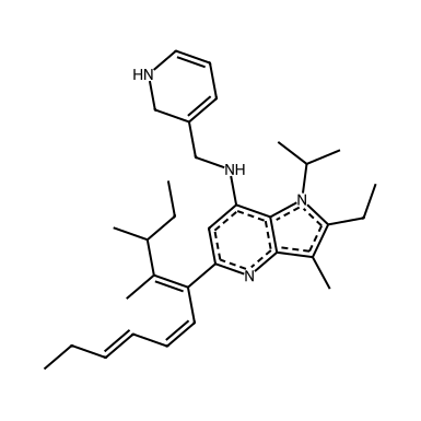 CC/C=C/C=C\C(=C(/C)C(C)CC)c1cc(NCC2=CC=CNC2)c2c(n1)c(C)c(CC)n2C(C)C